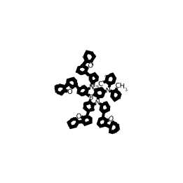 Cc1ccccc1N(c1cc2c3c(c1)N(c1cccc(-c4cccc5c4oc4ccccc45)c1)c1cc(-c4cccc5c4oc4ccccc45)ccc1B3c1ccc(-c3cccc4c3oc3ccccc34)cc1N2c1cccc(-c2cccc3c2oc2ccccc23)c1)c1ccccc1C